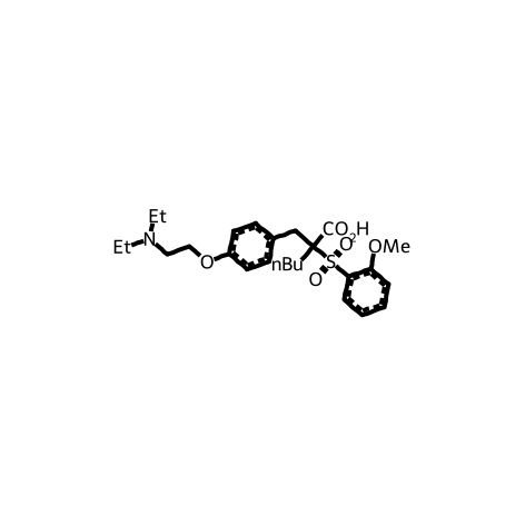 CCCCC(Cc1ccc(OCCN(CC)CC)cc1)(C(=O)O)S(=O)(=O)c1ccccc1OC